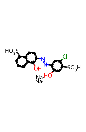 O=S(=O)(O)c1cc(O)c(N=Nc2ccc3c(S(=O)(=O)O)cccc3c2O)cc1Cl.[Na].[Na]